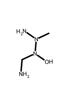 CN(N)N(O)CN